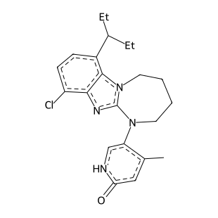 CCC(CC)c1ccc(Cl)c2nc3n(c12)CCCCN3c1c[nH]c(=O)cc1C